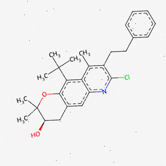 Cc1c(CCc2ccccc2)c(Cl)nc2cc3c(c(C(C)(C)C)c12)OC(C)(C)[C@H](O)[CH]3